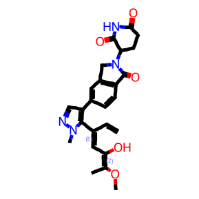 C=C/C(=C\C(O)=C(/C)OC)c1c(-c2ccc3c(c2)CN(C2CCC(=O)NC2=O)C3=O)cnn1C